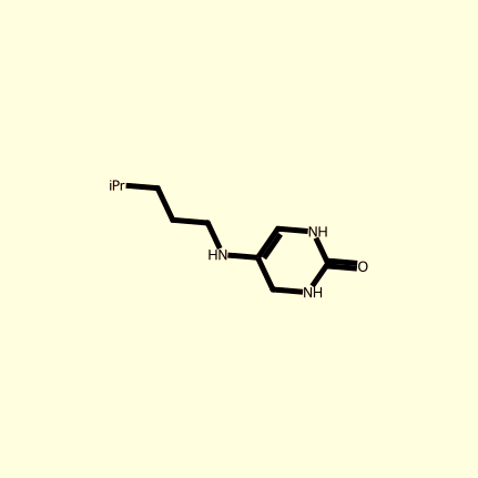 CC(C)CCCNC1=CNC(=O)NC1